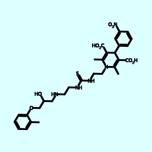 CC1=C(C(=O)O)C(c2cccc([N+](=O)[O-])c2)C(C(=O)O)=C(C)N1CCNC(=S)NCCNCC(O)COc1ccccc1C